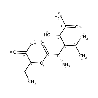 CCC(OC(=O)[C@@H](N)C(C(C)C)C(O)C(N)=O)C(=O)O